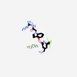 Cl.Cl.N=C(N)NC(=O)Cn1ccc2c(Oc3cc(CN)cc(C(F)(F)F)n3)cccc21